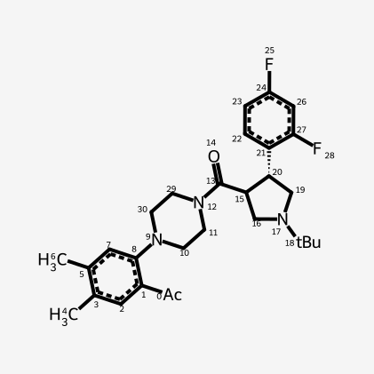 CC(=O)c1cc(C)c(C)cc1N1CCN(C(=O)C2CN(C(C)(C)C)C[C@H]2c2ccc(F)cc2F)CC1